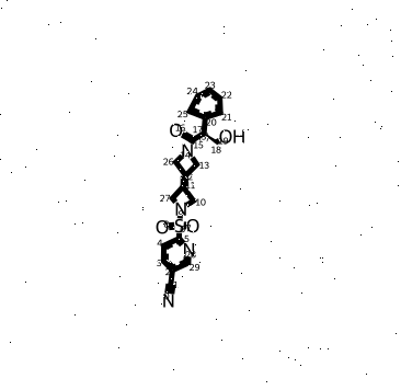 N#Cc1ccc(S(=O)(=O)N2CC(=C3CN(C(=O)[C@H](CO)c4ccccc4)C3)C2)nc1